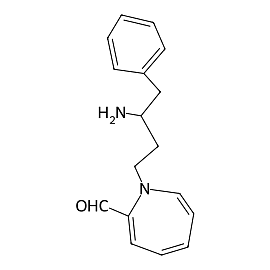 NC(CCN1C=CC=CC=C1C=O)Cc1ccccc1